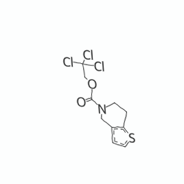 O=C(OCC(Cl)(Cl)Cl)N1CCc2sccc2C1